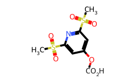 CS(=O)(=O)c1cc(OC(=O)O)cc(S(C)(=O)=O)n1